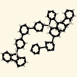 c1ccc(-c2cccc(-c3cccc(N(c4ccc(-c5cccc(-c6ccc(-n7c8ccccc8c8ccccc87)cc6)c5)cc4)c4ccccc4-c4cccc5oc6ccccc6c45)c3)c2)cc1